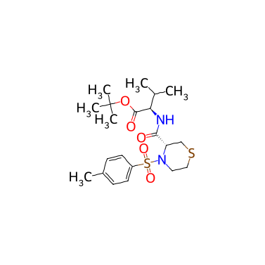 Cc1ccc(S(=O)(=O)N2CCSC[C@H]2C(=O)N[C@@H](C(=O)OC(C)(C)C)C(C)C)cc1